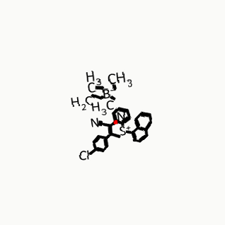 C=CC[B-](CC)(CC)CC.N#CC(C#N)=C(C[S+](c1ccccc1)c1cccc2ccccc12)c1ccc(Cl)cc1